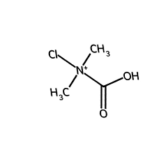 C[N+](C)(Cl)C(=O)O